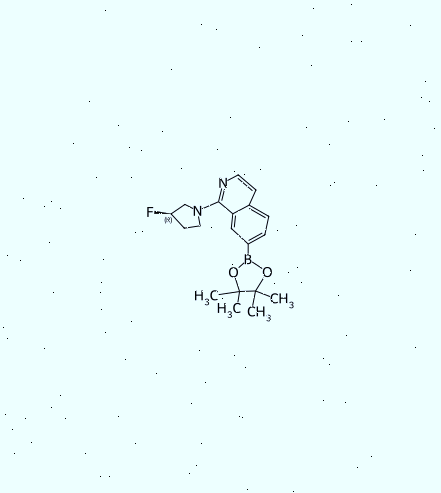 CC1(C)OB(c2ccc3ccnc(N4CC[C@@H](F)C4)c3c2)OC1(C)C